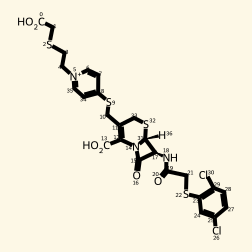 O=C(O)CSCC[n+]1ccc(SCC2=C(C(=O)O)N3C(=O)[C@H](NC(=O)CSc4cc(Cl)ccc4Cl)[C@H]3SC2)cc1